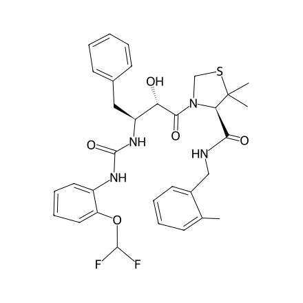 Cc1ccccc1CNC(=O)[C@H]1N(C(=O)[C@@H](O)[C@H](Cc2ccccc2)NC(=O)Nc2ccccc2OC(F)F)CSC1(C)C